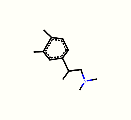 Cc1ccc(C(C)CN(C)C)cc1C